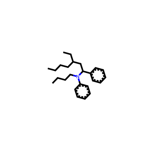 CCCCC(CC)CC(c1ccccc1)N(CCCC)c1ccccc1